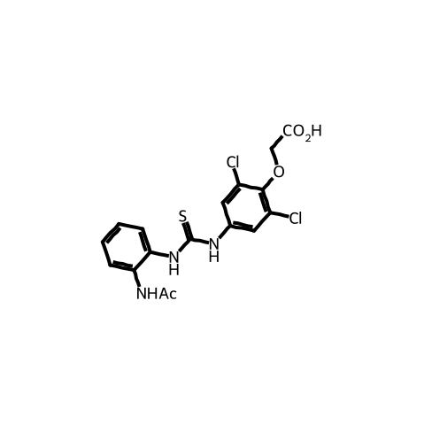 CC(=O)Nc1ccccc1NC(=S)Nc1cc(Cl)c(OCC(=O)O)c(Cl)c1